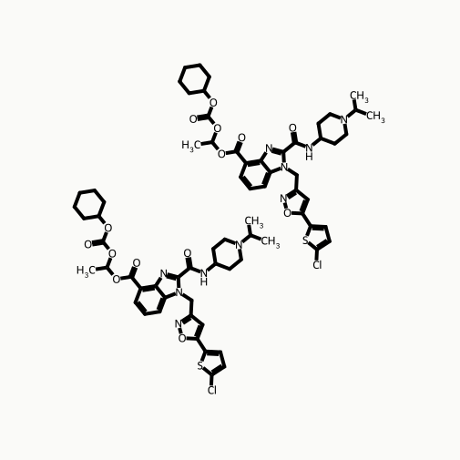 CC(OC(=O)OC1CCCCC1)OC(=O)c1cccc2c1nc(C(=O)NC1CCN(C(C)C)CC1)n2Cc1cc(-c2ccc(Cl)s2)on1.CC(OC(=O)OC1CCCCC1)OC(=O)c1cccc2c1nc(C(=O)NC1CCN(C(C)C)CC1)n2Cc1cc(-c2ccc(Cl)s2)on1